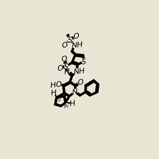 CS(=O)(=O)NCc1csc2c1S(=O)(=O)N=C(C1=C(O)C3C([C@@H]4CC[C@H]3C4)N(Cc3ccccc3)C1=O)N2